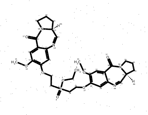 CCOP(=O)(CCOc1cc2c(cc1OC)C(=O)N1CCC[C@H]1C=N2)CCOc1cc2c(cc1OC)C(=O)N1CCC[C@H]1C=N2